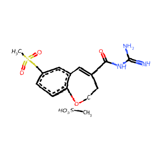 CS(=O)(=O)O.CS(=O)(=O)c1ccc2c(c1)C=C(C(=O)NC(=N)N)CCO2